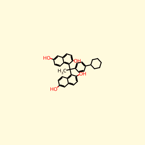 CC(c1ccc(C2CCCCC2)cc1)(c1c(O)ccc2cc(O)ccc12)c1c(O)ccc2cc(O)ccc12